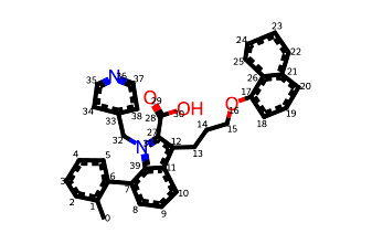 Cc1ccccc1-c1cccc2c(CCCOc3cccc4ccccc34)c(C(=O)O)n(Cc3ccncc3)c12